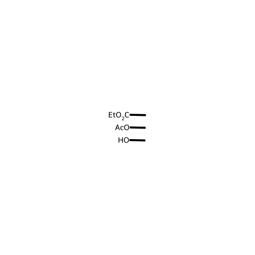 CCOC(C)=O.CO.COC(C)=O